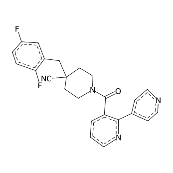 N#CC1(Cc2cc(F)ccc2F)CCN(C(=O)c2cccnc2-c2ccncc2)CC1